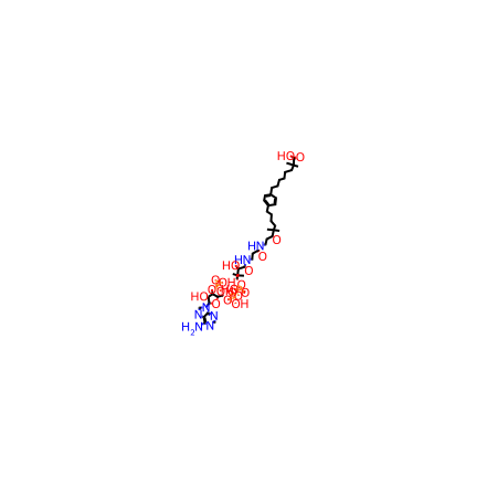 CC(C)(CCCCCCc1ccc(CCCCC(C)(C)C(=O)CCNC(=O)CCNC(=O)C(O)C(C)(C)COP(=O)(O)OP(=O)(O)OCC2OC(n3cnc4c(N)ncnc43)C(O)C2OP(=O)(O)O)cc1)C(=O)O